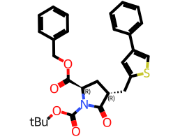 CC(C)(C)OC(=O)N1C(=O)[C@@H](Cc2cc(-c3ccccc3)cs2)C[C@@H]1C(=O)OCc1ccccc1